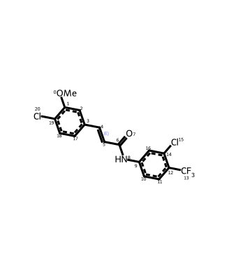 COc1cc(/C=C/C(=O)Nc2ccc(C(F)(F)F)c(Cl)c2)ccc1Cl